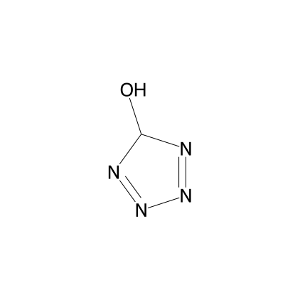 OC1N=NN=N1